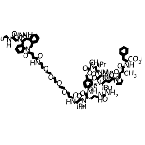 CC[C@H](C)[C@@H]([C@@H](CC(=O)N1CCC[C@H]1[C@H](OC)[C@@H](C)C(=O)N[C@H](Cc1ccccc1)C(=O)O)OC)N(C)C(=O)[C@@H](NC(=O)[C@H](C(C)C)N(C)C(=O)OCc1ccc(NC(=O)[C@H](CCCNC(N)=O)NC(=O)[C@@H](NC(=O)CCOCCOCCOCCOCCNC(=O)CCC(=O)N2Cc3ccccc3C3=C(c4ccccc42)N(CC(=O)NCC(C)(C)C)NN3)C(C)C)cc1)C(C)C